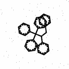 c1ccc(CC(c2ccccc2)C(c2ccccc2)(c2ccccc2)c2ccccc2)cc1